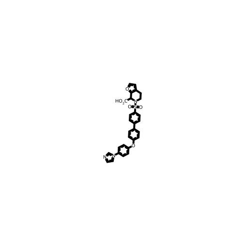 O=C(O)C1c2occc2CCN1S(=O)(=O)c1ccc(-c2ccc(Oc3ccc(-n4ccnc4)cc3)cc2)cc1